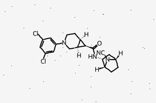 N#CN1[C@H]2CC[C@@H]1[C@H](NC(=O)[C@@H]1[C@@H]3CCN(c4cc(Cl)cc(Cl)c4)C[C@@H]31)C2